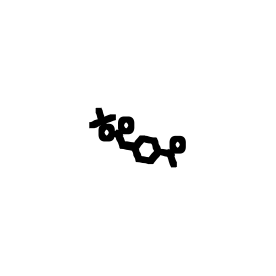 CC(=O)C1CCC(=CC(=O)OC(C)(C)C)CC1